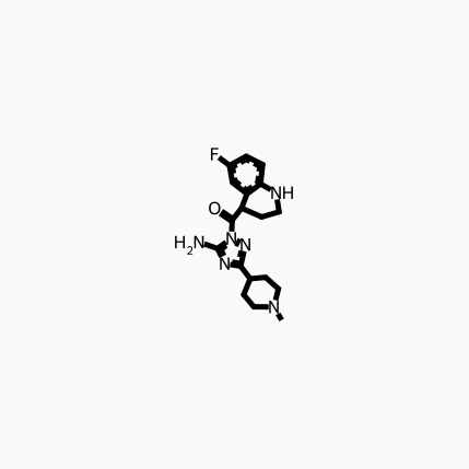 CN1CCC(c2nc(N)n(C(=O)C3CCNc4ccc(F)cc43)n2)CC1